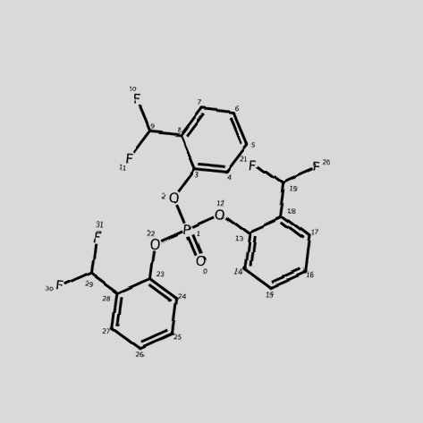 O=P(Oc1ccccc1C(F)F)(Oc1ccccc1C(F)F)Oc1ccccc1C(F)F